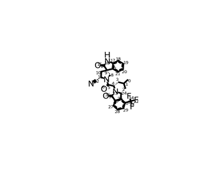 CC(C)C[C@@H](C(=O)N1C[C@]2(C[C@H]1C#N)C(=O)Nc1ccccc12)N1Cc2c(cccc2C(F)(F)F)C1=O